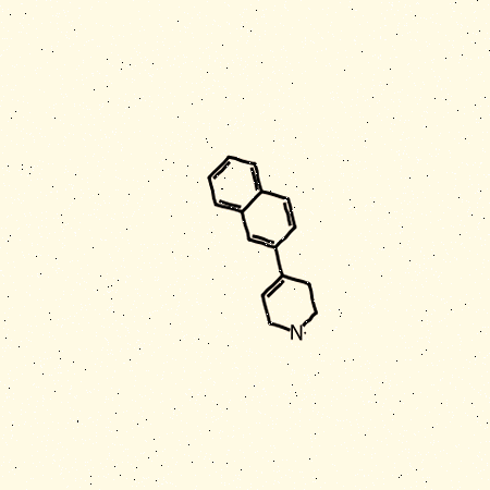 C1=C(c2ccc3ccccc3c2)CC[N]C1